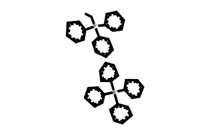 CC[P+](c1ccccc1)(c1ccccc1)c1ccccc1.c1ccc([B-](c2ccccc2)(c2ccccc2)c2ccccc2)cc1